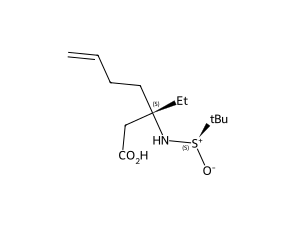 C=CCC[C@@](CC)(CC(=O)O)N[S@+]([O-])C(C)(C)C